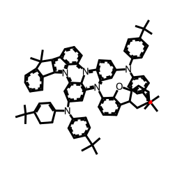 CC(C)(C)C1=CC=C(N(c2ccc(C(C)(C)C)cc2)c2cc3c4c(c2)n2c5c(c6cccc(c62)n-4c2ccc(N(c4ccc(C(C)(C)C)cc4)c4ccc(C(C)(C)C)cc4)cc2n3-c2cccc3c2OC2=CC=CCC23)C(C)(C)c2ccccc2-5)CC1